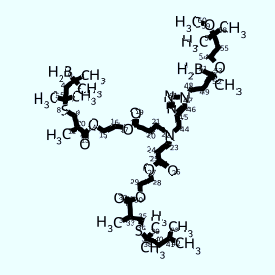 BC(C)(C)CC(C)(C)SCC(C)C(=O)OCCOC(=O)CCN(CCC(=O)OCCOC(=O)C(C)CSC(C)(C)CC(C)C)Cc1cn(CCC(B)(C)OCCC(C)(C)OC)nn1